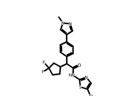 Cn1cc(-c2ccc(C(C(=O)Nc3ncc(Cl)s3)C3CCC(F)(F)C3)cc2)cn1